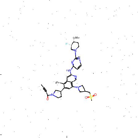 CC#CC(=O)N1CC[C@H](c2cc(N3CC(CS(C)(=O)=O)C3)c3cnc(Nc4ccnc(N5CC[C@@H](OC)[C@@H](F)C5)n4)cc3c2C(C)C)C1